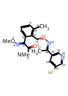 CNC(=O)/C(=N/OC)c1cccc(C)c1CO/N=C(\C)c1cncc(F)c1